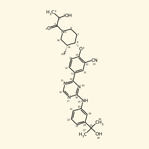 CC(O)C(=O)N1CC[C@H](Oc2ccc(-c3ncnc(Nc4cccc(C(C)(C)O)c4)n3)cc2C#N)[C@H](F)C1